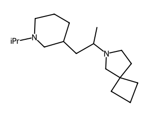 CC(C)N1CCCC(CC(C)N2CCC3(CCC3)C2)C1